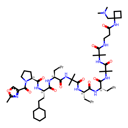 Cc1nc(C(=O)N2CCC[C@H]2C(=O)N[C@@H](CCC2CCCCC2)C(=O)N[C@@H](CC(C)C)C(=O)NC(C)(C)C(=O)N[C@@H](CC(C)C)C(=O)N[C@@H](CC(C)C)C(=O)NC(C)(C)C(=O)NC(C)(C)C(=O)NCCC(=O)NC2(CN(C)C)CCC2)co1